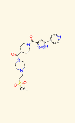 CS(=O)(=O)CCN1CCN(C(=O)C2CCN(C(=O)c3cc(-c4ccncc4)[nH]n3)CC2)CC1